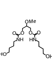 COC(COC(=O)NCCCCO)COC(=O)NCCCCO